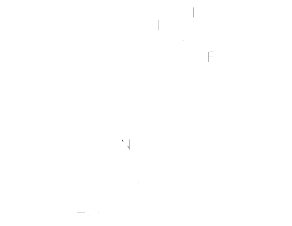 OC1CN(c2ccc(C(F)(F)F)cc2)C1